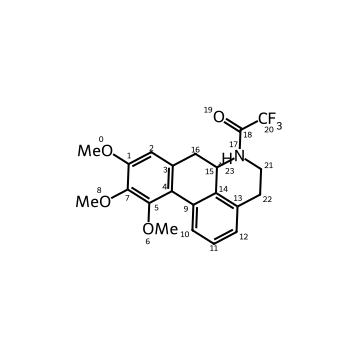 COc1cc2c(c(OC)c1OC)-c1cccc3c1[C@@H](C2)N(C(=O)C(F)(F)F)CC3